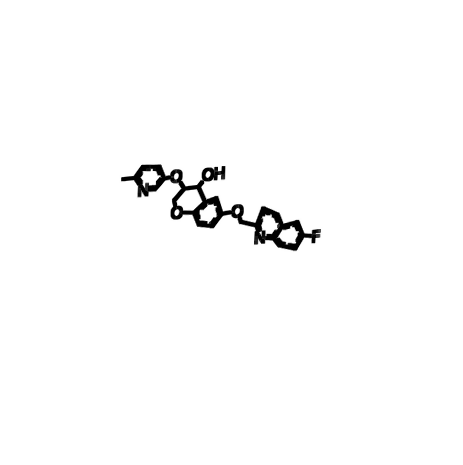 Cc1ccc(OC2COc3ccc(OCc4ccc5cc(F)ccc5n4)cc3C2O)cn1